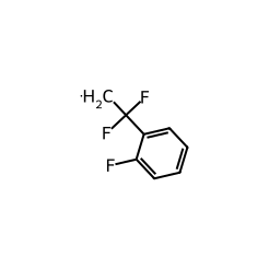 [CH2]C(F)(F)c1ccccc1F